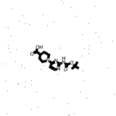 CC(C)(C)OC(=O)Nc1nccc(N2CCC(C(=O)O)CC2)n1